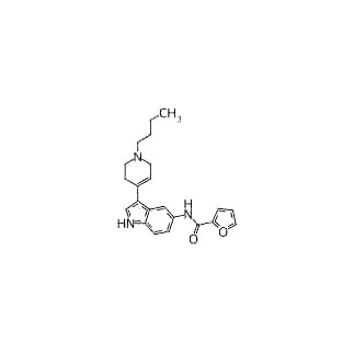 CCCCN1CC=C(c2c[nH]c3ccc(NC(=O)c4ccco4)cc23)CC1